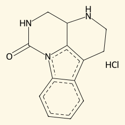 Cl.O=C1NCC2NCCc3c2n1c1ccccc31